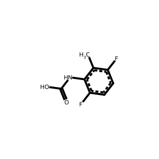 Cc1c(F)ccc(F)c1NC(=O)O